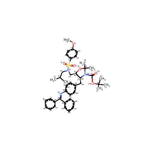 COc1ccc(S(=O)(=O)N(CC(C)C)C[C@H]2OC(C)(C)N(C(=O)OC(C)(C)C)[C@H]2Cc2ccc(N=C(c3ccccc3)c3ccccc3)cc2)cc1